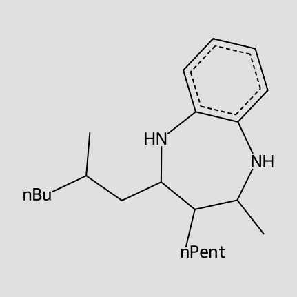 CCCCCC1C(C)Nc2ccccc2NC1CC(C)CCCC